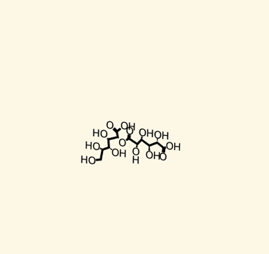 O=C(O)[C@@H](O)[C@@H](O)[C@H](O)[C@@H](O)C(=O)O[C@@H](C(=O)O)[C@@H](O)[C@H](O)[C@H](O)CO